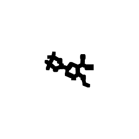 CCOc1ncc(B2OC(C)(C)C(C)(C)O2)cc1C(=O)O